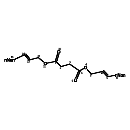 CCCCCCCCC/C=C/COC(=O)CCC(=O)OC/C=C/CCCCCCCCC